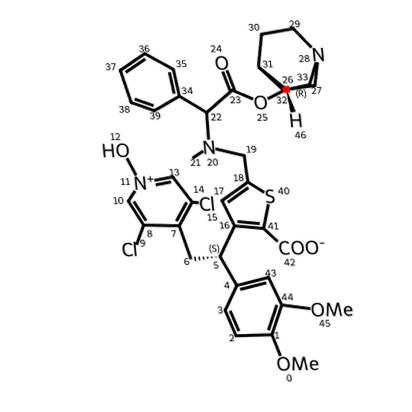 COc1ccc([C@H](Cc2c(Cl)c[n+](O)cc2Cl)c2cc(CN(C)C(C(=O)O[C@H]3CN4CCC3CC4)c3ccccc3)sc2C(=O)[O-])cc1OC